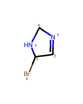 BrC1[C]=NCN1